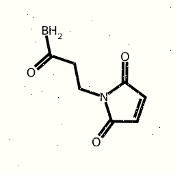 BC(=O)CCN1C(=O)C=CC1=O